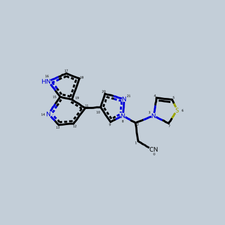 N#CCC(N1C=CSC1)n1cc(-c2ccnc3[nH]ccc23)cn1